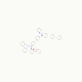 c1ccc(-c2ccc(-c3ccc(N(c4ccccc4)c4ccc(-c5ccc(N(c6cc7ccccc7c7ccccc67)c6cccc7c6oc6ccccc67)cc5)cc4)cc3)cc2)cc1